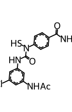 CC(=O)Nc1cc(Cl)cc(NC(=O)N(S)c2ccc(C(N)=O)cc2)c1